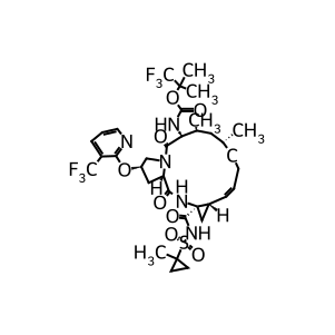 C[C@@H]1CC/C=C\[C@@H]2C[C@@]2(C(=O)NS(=O)(=O)C2(C)CC2)NC(=O)[C@@H]2C[C@@H](Oc3ncccc3C(F)(F)F)CN2C(=O)[C@@H](NC(=O)OC(C)(C)C(F)(F)F)[C@H](C)C1